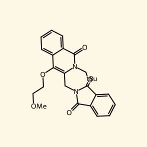 COCCOc1c(CN2C(=O)c3ccccc3C2=O)n(CC(C)(C)C)c(=O)c2ccccc12